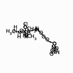 CNCCNC(=O)C[C@@H]1N=C(c2ccc(Cl)cc2)c2c(sc(C#Cc3cnn(CCOCCOCCOCC#Cc4cccc5c4CN(C4CCC(=O)NC4=O)C5=O)c3)c2C)-n2c(C)nnc21